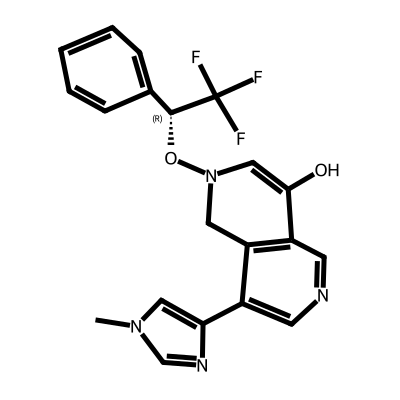 Cn1cnc(-c2cncc3c2CN(O[C@H](c2ccccc2)C(F)(F)F)C=C3O)c1